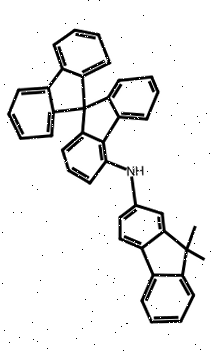 CC1(C)c2ccccc2-c2ccc(Nc3cccc4c3-c3ccccc3C43c4ccccc4-c4ccccc43)cc21